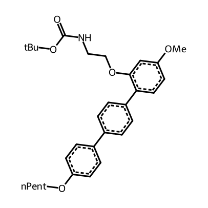 CCCCCOc1ccc(-c2ccc(-c3ccc(OC)cc3OCCNC(=O)OC(C)(C)C)cc2)cc1